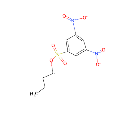 CCC[CH]OS(=O)(=O)c1cc([N+](=O)[O-])cc([N+](=O)[O-])c1